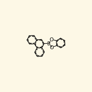 c1ccc2c(c1)OB(c1cc3ccccc3c3ccccc13)O2